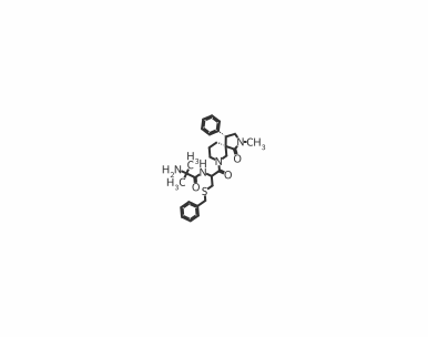 CN1C[C@@H](c2ccccc2)[C@@]2(CCCN(C(=O)C(CSCc3ccccc3)NC(=O)C(C)(C)N)C2)C1=O